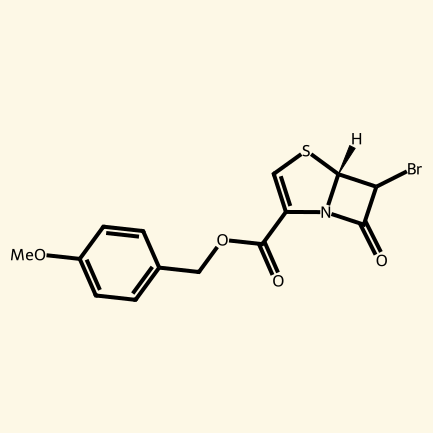 COc1ccc(COC(=O)C2=CS[C@@H]3C(Br)C(=O)N23)cc1